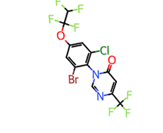 O=c1cc(C(F)(F)F)ncn1-c1c(Cl)cc(OC(F)(F)C(F)F)cc1Br